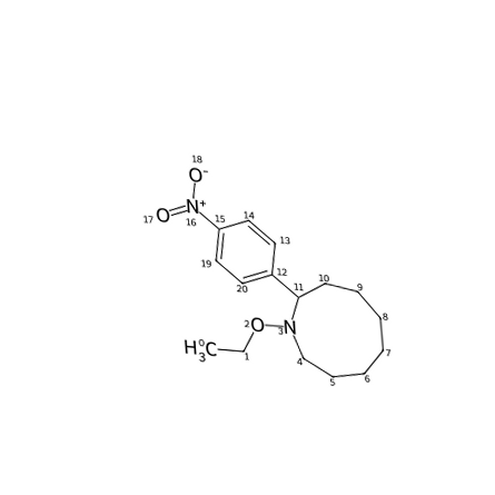 CCON1CCCCCCCC1c1ccc([N+](=O)[O-])cc1